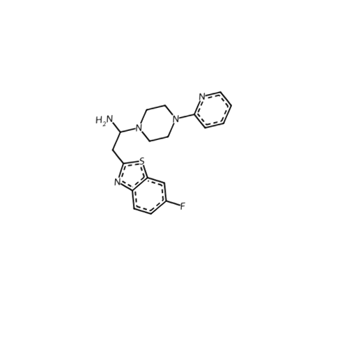 NC(Cc1nc2ccc(F)cc2s1)N1CCN(c2ccccn2)CC1